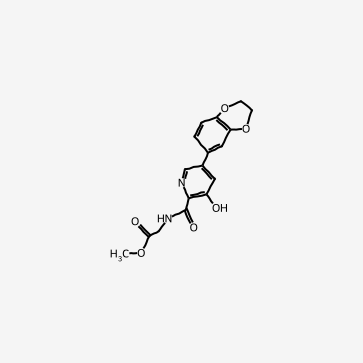 COC(=O)CNC(=O)c1ncc(-c2ccc3c(c2)OCCO3)cc1O